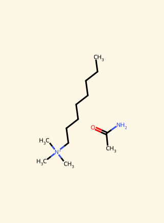 CC(N)=O.CCCCCCCC[N+](C)(C)C